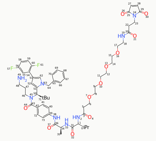 CC(C)C(NC(=O)CCOCCOCCOCCOCCNC(=O)CCN1C(=O)C=CC1=O)C(=O)N[C@@H](C)C(=O)Nc1ccc(C(=O)N(CCCN)[C@@H](c2cc(-c3cc(F)ccc3F)cn2Cc2ccccc2)C(C)(C)C)cc1